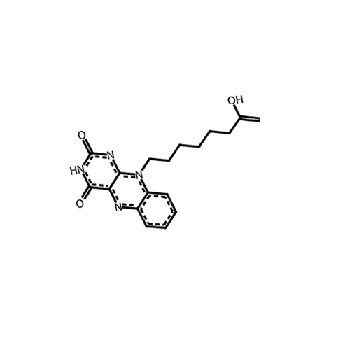 C=C(O)CCCCCCn1c2nc(=O)[nH]c(=O)c-2nc2ccccc21